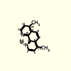 Cc1ccnc2c1ccc1c(C)ccnc12.[Ni]